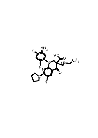 CCNCC1(C(=O)O)CN(c2cc(N)c(F)cc2F)c2nc(N3CCCC3)c(F)cc2C1=O